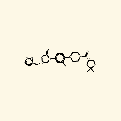 CC1(C)OC[C@@H](C(=O)N2CCN(c3ccc(N4C[C@H](Cn5ccnn5)OC4=O)cc3F)CC2)O1